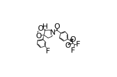 O=C(c1ccc(S(=O)(=O)C(F)F)cc1)N1CC[C@]2(c3cccc(F)c3)OCO[C@@H]2C1